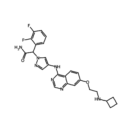 NC(=O)C(c1cccc(F)c1F)n1cc(Nc2ncnc3cc(OCCNC4CCC4)ccc23)cn1